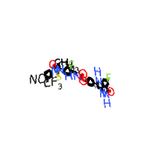 CC1(C)C(=O)N(c2ccc(C#N)c(C(F)(F)F)c2)C(=S)N1c1ccc(CNC(=O)Oc2ccc([C@@H]3Cc4n[nH]c(=O)c5cc(F)cc(c45)N3)cc2)c(F)c1